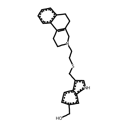 OCc1ccc2c(CSCCN3CCC4=C(CCc5ccccc54)C3)c[nH]c2c1